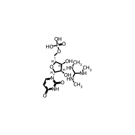 CNC(NC)NC.O=c1ccn([C@@H]2O[C@H](COP(=O)(O)O)[C@@H](O)[C@H]2O)c(=O)[nH]1